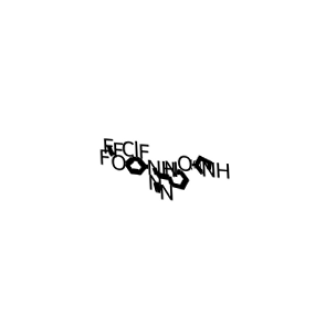 Fc1c(Nc2ncnc3ccc(O[C@H]4CCNC4)nc23)ccc(OC(F)(F)F)c1Cl